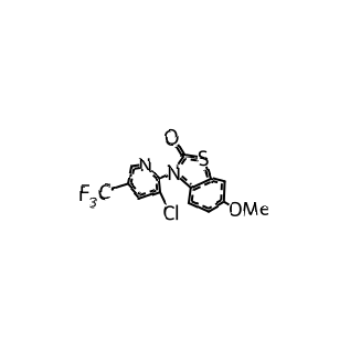 COc1ccc2c(c1)sc(=O)n2-c1ncc(C(F)(F)F)cc1Cl